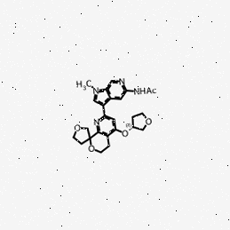 CC(=O)Nc1cc2c(-c3cc(O[C@@H]4CCOC4)c4c(n3)C3(CCOC3)OCC4)cn(C)c2cn1